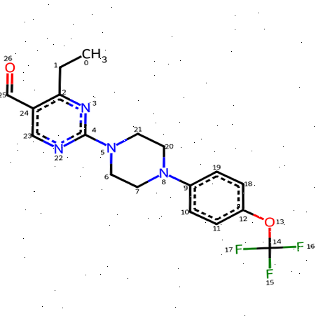 CCc1nc(N2CCN(c3ccc(OC(F)(F)F)cc3)CC2)ncc1C=O